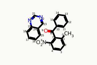 Cc1cccc([N+](=O)[O-])c1C(=O)c1ccccc1.c1ccc2ncncc2c1